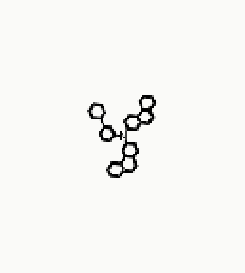 c1ccc(-c2cccc(N(c3ccc4c(ccc5ccccc54)c3)c3ccc4ccc5ccccc5c4c3)c2)cc1